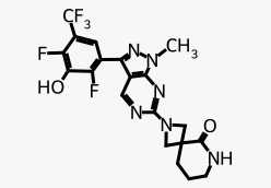 Cn1nc(-c2cc(C(F)(F)F)c(F)c(O)c2F)c2cnc(N3CC4(CCCNC4=O)C3)nc21